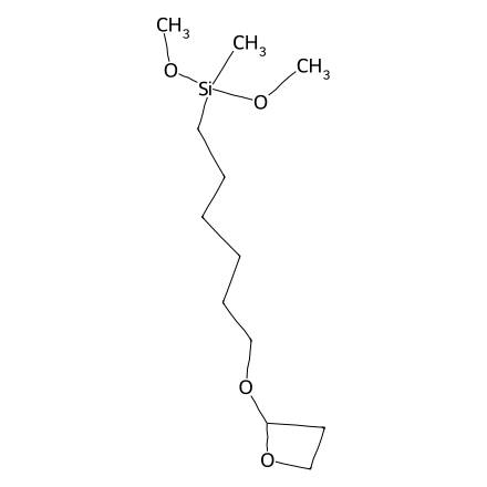 CO[Si](C)(CCCCCCOC1CCO1)OC